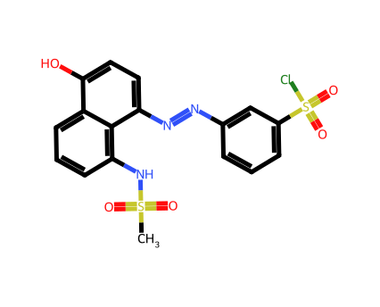 CS(=O)(=O)Nc1cccc2c(O)ccc(/N=N/c3cccc(S(=O)(=O)Cl)c3)c12